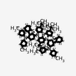 Cc1ccc(N(c2ccc(C)cc2)c2cc(N3c4ccc(C(C)(C)C)cc4B4c5cc(C(C)(C)C)ccc5N(c5ccc(N(c6ccc(C)cc6)c6ccc(C)cc6)c6c5sc5ccccc56)c5cc(C(C)(C)C)cc3c54)c3sc4ccccc4c3c2)cc1